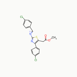 COC(=O)Cc1sc(/N=C/c2ccc(Cl)cc2)nc1-c1ccc(Cl)cc1